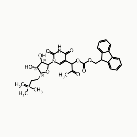 C=P(C)(C)CC[C@H]1OC(n2cc(C(OC(=O)OCC3c4ccccc4-c4ccccc43)C(C)=O)c(=O)[nH]c2=O)[C@H](O)[C@@H]1O